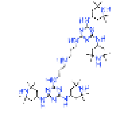 CC1(C)CC(Nc2nc(NCCCNCCCNc3nc(NC4CC(C)(C)NC(C)(C)C4)nc(NC4CC(C)(C)NC(C)(C)C4)n3)nc(NC3CC(C)(C)NC(C)(C)C3)n2)CC(C)(C)N1